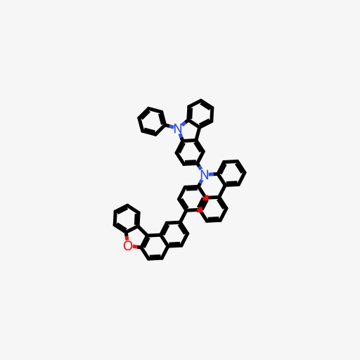 c1ccc(-c2ccccc2N(c2ccc(-c3ccc4ccc5oc6ccccc6c5c4c3)cc2)c2ccc3c(c2)c2ccccc2n3-c2ccccc2)cc1